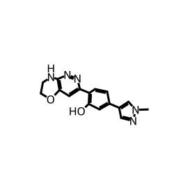 Cn1cc(-c2ccc(-c3cc4c(nn3)NCCO4)c(O)c2)cn1